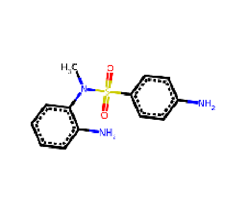 CN(c1ccccc1N)S(=O)(=O)c1ccc(N)cc1